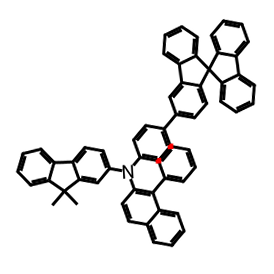 CC1(C)c2ccccc2-c2ccc(N(c3ccc(-c4ccc5c(c4)-c4ccccc4C54c5ccccc5-c5ccccc54)cc3)c3ccc4ccccc4c3-c3ccccc3)cc21